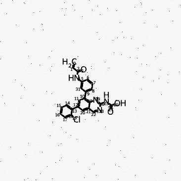 C=CC(=O)Nc1cccc(-c2cc(-c3ccccc3Cl)cc3cnc(NC(=O)O)nc23)c1